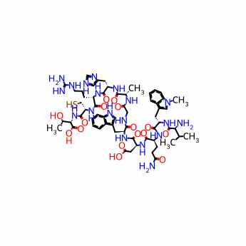 CC(C)[C@H](N)C(=O)N[C@@H](Cc1cn(C)c2ccccc12)C(=O)N[C@@H](CCC(N)=O)C(=O)N[C@@H](CC(=O)O)C(=O)N[C@@H](Cc1c[nH]c2ccccc12)C(=O)NCC(=O)N[C@@H](C)C(=O)N[C@@H](Cc1c[nH]cn1)C(=O)N[C@@H](CCCNC(=N)N)C(=O)N[C@@H](CS)C(=O)N[C@H](C(=O)O)[C@@H](C)O